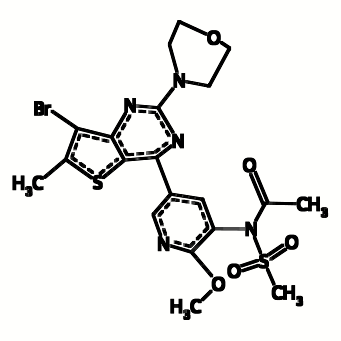 COc1ncc(-c2nc(N3CCOCC3)nc3c(Br)c(C)sc23)cc1N(C(C)=O)S(C)(=O)=O